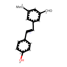 COc1cc(C=O)cc(/C=C/c2ccc(O)cc2)c1